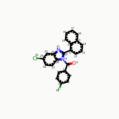 O=C(c1ccc(F)cc1)n1c(-c2cccc3ccccc23)nc2cc(Cl)ccc21